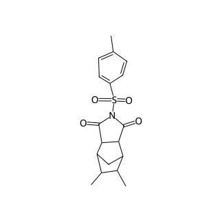 Cc1ccc(S(=O)(=O)N2C(=O)C3C4CC(C(C)C4C)C3C2=O)cc1